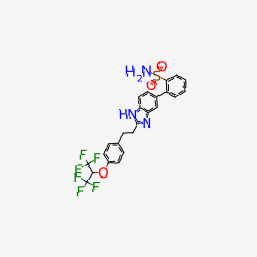 NS(=O)(=O)c1ccccc1-c1ccc2[nH]c(CCc3ccc(OC(C(F)(F)F)C(F)(F)F)cc3)nc2c1